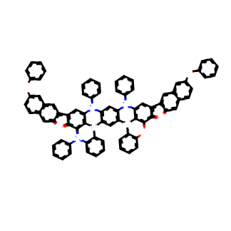 c1ccc(Sc2ccc3cc4oc5c6c7c(cc5c4cc3c2)N(c2ccccc2)c2cc3c(cc2B7c2ccccc2O6)B2c4ccccc4N(c4ccccc4)c4c2c(cc2c4oc4cc5ccc(Sc6ccccc6)cc5cc42)N3c2ccccc2)cc1